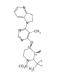 Cc1c(O[C@@H]2CCN(C(=O)O)C(C3(C)CC3)[C@@H]2F)ncnc1N1CCc2ncccc21